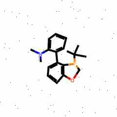 CN(C)c1ccccc1-c1cccc2c1P(C(C)(C)C)CO2